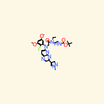 CCN(CCNC(=O)OC(C)(C)C)C(=O)CN(c1ccc2ncc(-c3cnn(C)c3)nc2n1)c1cc(OC)cc(OC)c1F